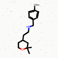 COc1ccc(CNCCC2CCOC(C)(C)C2)cc1